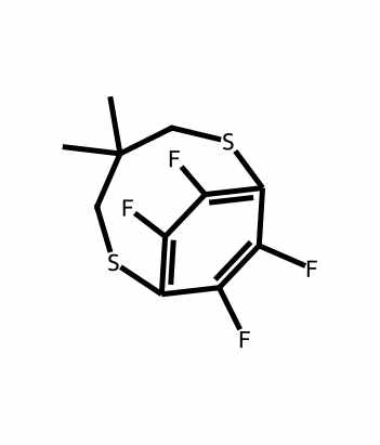 CC1(C)CSc2c(F)c(F)c(c(F)c2F)SC1